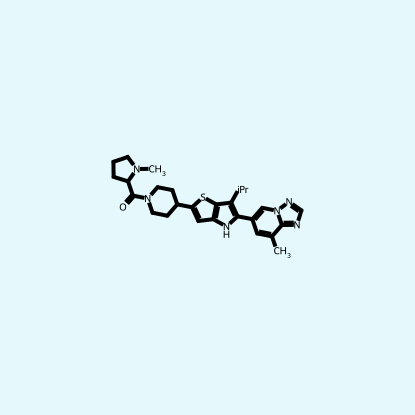 Cc1cc(-c2[nH]c3cc(C4CCN(C(=O)C5CCCN5C)CC4)sc3c2C(C)C)cn2ncnc12